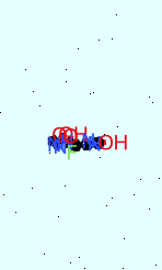 O=C(O)C(c1ncn2c1CCC2)N1Cc2c(F)cc(-c3ccc(N4CCC(O)CC4)nc3)cc2C1=O